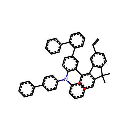 C=Cc1ccc2c(c1)-c1c(-c3cc(-c4ccccc4-c4ccccc4)ccc3N(c3ccccc3)c3ccc(-c4ccccc4)cc3)cccc1C2(C)C